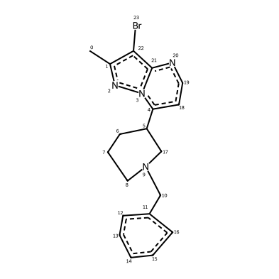 Cc1nn2c(C3CCCN(Cc4ccccc4)C3)ccnc2c1Br